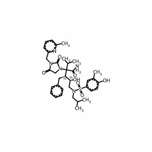 Cc1cccc(CN2C(=O)CN(C(C(N)=O)(C(C)C)[C@H](Cc3ccccc3)[C@@H](O)CN(CC(C)C)S(=O)(=O)c3ccc(O)c(C)c3)C2=O)n1